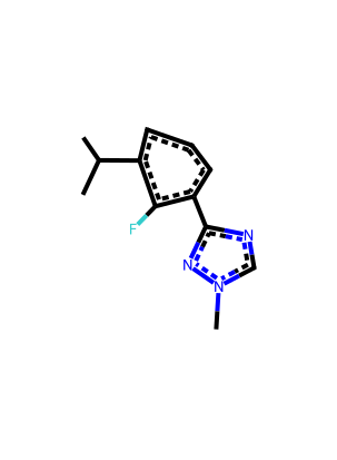 CC(C)c1cccc(-c2ncn(C)n2)c1F